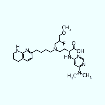 COC[C@@H](F)CN(CCCCc1ccc2c(n1)NCCC2)CC[C@H](Nc1cc(N(C)C)ncn1)C(=O)O